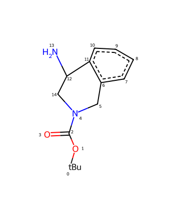 CC(C)(C)OC(=O)N1Cc2ccccc2C(N)C1